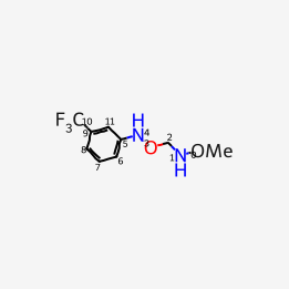 CONCONc1cccc(C(F)(F)F)c1